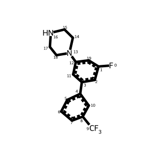 Fc1cc(-c2cccc(C(F)(F)F)c2)cc(N2CCNCC2)c1